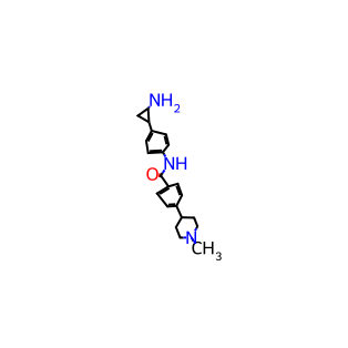 CN1CCC(c2ccc(C(=O)Nc3ccc(C4CC4N)cc3)cc2)CC1